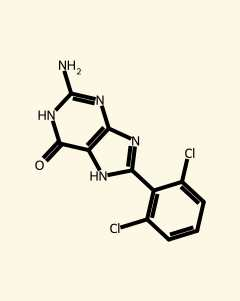 Nc1nc2nc(-c3c(Cl)cccc3Cl)[nH]c2c(=O)[nH]1